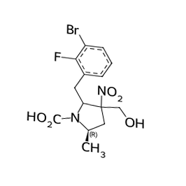 C[C@@H]1CC(CO)([N+](=O)[O-])C(Cc2cccc(Br)c2F)N1C(=O)O